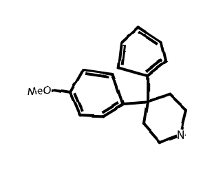 COc1ccc(C2(c3ccccc3)CC[N]CC2)cc1